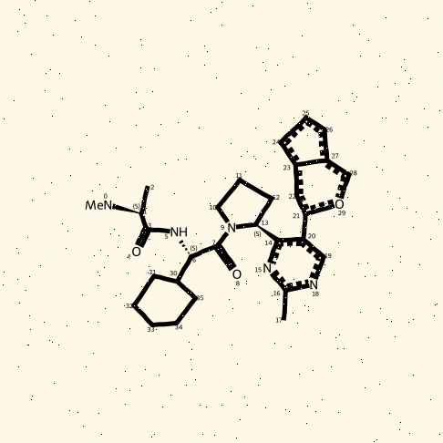 CN[C@@H](C)C(=O)N[C@H](C(=O)N1CCC[C@H]1c1nc(C)ncc1-c1cc2cccc-2co1)C1CCCCC1